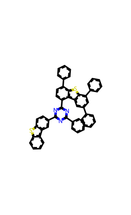 c1ccc(-c2cc(-c3ccccc3)c3sc4c(-c5ccccc5)ccc(-c5nc(-c6ccccc6)nc(-c6ccc7sc8ccccc8c7c6)n5)c4c3c2)cc1